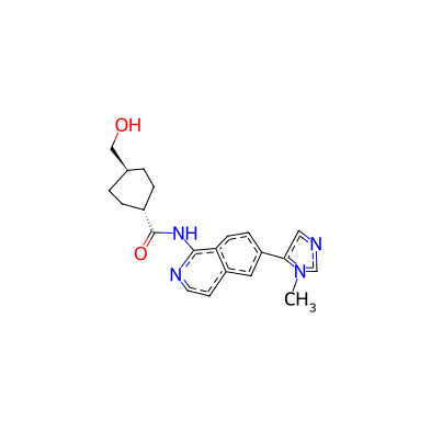 Cn1cncc1-c1ccc2c(NC(=O)[C@H]3CC[C@H](CO)CC3)nccc2c1